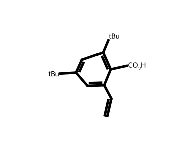 C=Cc1cc(C(C)(C)C)cc(C(C)(C)C)c1C(=O)O